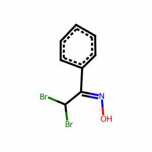 ON=C(c1ccccc1)C(Br)Br